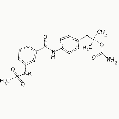 CC(C)(Cc1ccc(NC(=O)c2cccc(NS(C)(=O)=O)c2)cc1)OC(N)=O